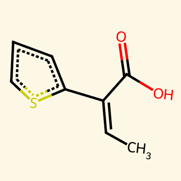 CC=C(C(=O)O)c1cccs1